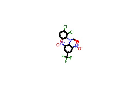 O=CN(c1cccc(Cl)c1Cl)c1c([N+](=O)[O-])cc(C(F)(F)F)cc1[N+](=O)[O-]